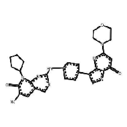 N#Cc1cc2cnc(Nc3ccc(-c4csc5c(=O)cc(N6CCOCC6)oc45)cc3)nc2n(C2CCCC2)c1=O